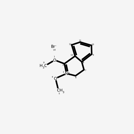 COC1=[N+](OC)CCc2ccccc21.[Br-]